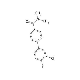 CN(C)C(=O)c1ccc(-c2ccc(F)c(Cl)c2)cc1